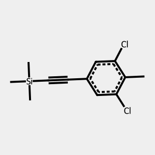 Cc1c(Cl)cc(C#C[Si](C)(C)C)cc1Cl